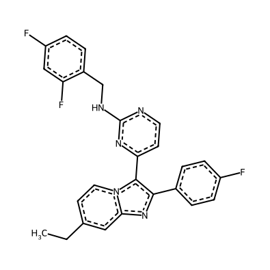 CCc1ccn2c(-c3ccnc(NCc4ccc(F)cc4F)n3)c(-c3ccc(F)cc3)nc2c1